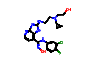 OCCN(CCNc1nc2nccc(/C(=N/O)Nc3ccc(F)c(Cl)c3)c2[nH]1)C1CC1